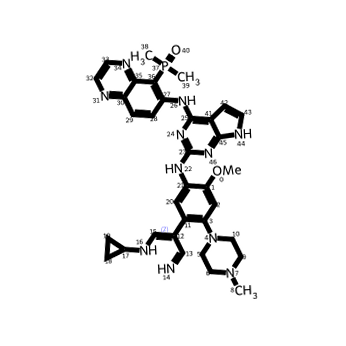 COc1cc(N2CCN(C)CC2)c(/C(C=N)=C/NC2CC2)cc1Nc1nc(Nc2ccc3nccnc3c2P(C)(C)=O)c2cc[nH]c2n1